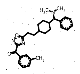 Cc1cccc(C(=O)c2noc(CCC3CCC(C(c4ccccc4)N(C)C)CC3)n2)c1